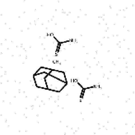 C.C1C2CC3CC1CC(C2)C3.NC(O)=S.NC(O)=S